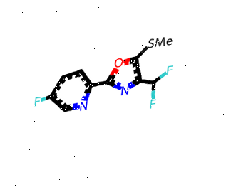 CSc1oc(-c2ccc(F)cn2)nc1C(F)F